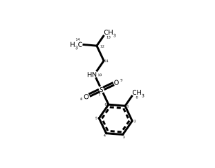 Cc1ccccc1S(=O)(=O)NCC(C)C